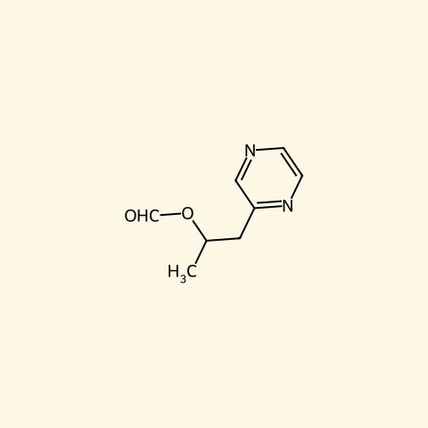 CC(Cc1cnccn1)OC=O